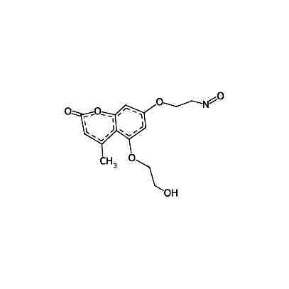 Cc1cc(=O)oc2cc(OCCN=O)cc(OCCO)c12